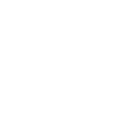 Cc1cc(C(=O)N2CCCCC2)ccc1COc1ccccc1-c1csc(C2=CCC(C)CC2)n1